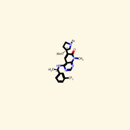 CO[C@]1(c2cc3c(N[C@H](C)c4cccc(C(F)(F)F)c4)ncnc3n(C)c2=O)CCN(C(C)=O)C1